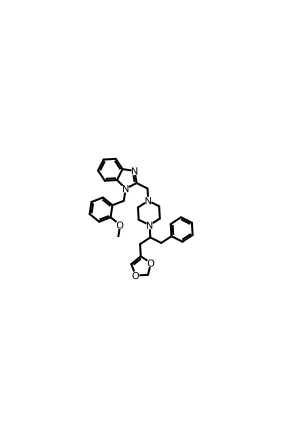 COc1ccccc1Cn1c(CN2CCN(C(CC3=COCO3)Cc3ccccc3)CC2)nc2ccccc21